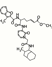 CCOC(=O)/C=C/CCC(NC(=O)c1oc2ccccc2c1C)C(=O)Nc1cccn(CC(=O)NC2C(C)CC3CCCC2C3)c1=O